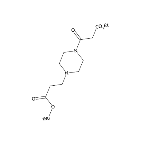 CCOC(=O)CC(=O)N1CCN(CCC(=O)OC(C)(C)C)CC1